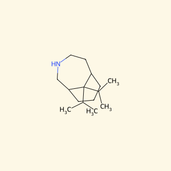 CC(C)C1(C(C)C)C2CCCC1CNCC2